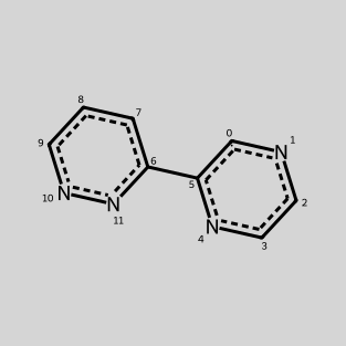 [c]1nccnc1-c1cccnn1